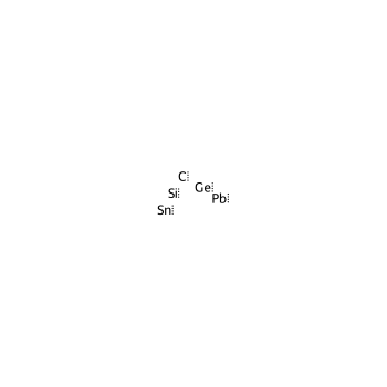 [C].[Ge].[Pb].[Si].[Sn]